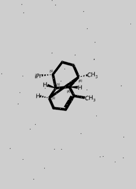 CC1=CC[C@H]2[C@H]3[C@@H]1[C@]2(C)CC[C@H]3C(C)C